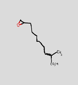 C/C(=C\CCCCCC1CO1)C(=O)O